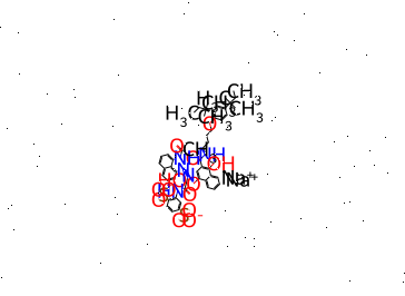 CCC(C)(C)c1ccc(OCCCCNC(=O)c2cc(OC(O)(N=Nc3cccc4cccc(NC(C)=O)c34)C(=O)Nc3cc(S(=O)(=O)[O-])ccc3S(=O)(=O)[O-])c3ccccc3c2O)c(C(C)(C)CC)c1.[Na+].[Na+]